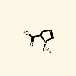 CN1C=CCC1C(=O)O